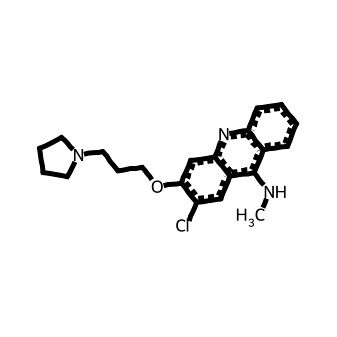 CNc1c2ccccc2nc2cc(OCCCN3CCCC3)c(Cl)cc12